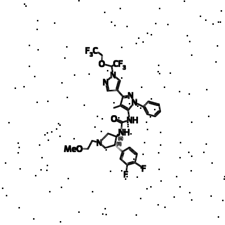 COCCN1C[C@@H](NC(=O)Nc2c(C)c(-c3cnn(C(OCC(F)(F)F)C(F)(F)F)c3)nn2-c2ccccc2)[C@H](c2ccc(F)c(F)c2)C1